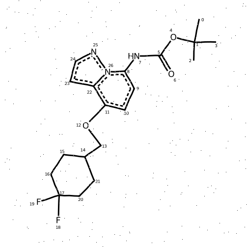 CC(C)(C)OC(=O)Nc1ccc(OCC2CCC(F)(F)CC2)c2ccnn12